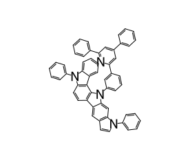 c1ccc(-c2cc(-c3ccccc3)nc(-c3cccc(-n4c5cc6c(ccn6-c6ccccc6)cc5c5ccc6c(c7ccccc7n6-c6ccccc6)c54)c3)c2)cc1